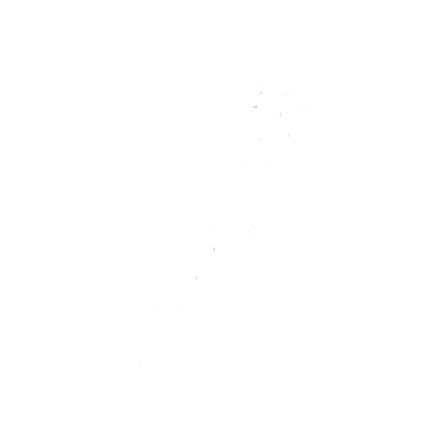 CCCCCCCCCCCCCCCCCC1(O[SiH3])OO1.[Zn]